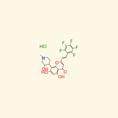 CN1CCC(c2c(O)cc(O)c3c(=O)cc(/C=C/c4c(F)c(F)c(F)c(F)c4F)oc23)C(O)C1.Cl